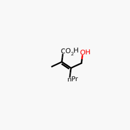 CCCC(CO)=C(C)C(=O)O